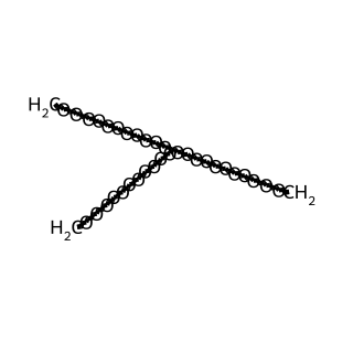 C=CCOCCCOCCCOCCOCCOCCOCCOCCOCCOCCOCCOCC(COCCOCCOCCOCCOCCOCCOCCOCCOCCCOCCCOCC=C)OCCOCCOCCOCCOCCOCCOCCOCCOCCCOCCCOCC=C